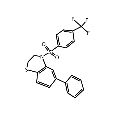 O=S(=O)(c1ccc(C(F)(F)F)cc1)N1CCSc2ccc(-c3ccccc3)cc21